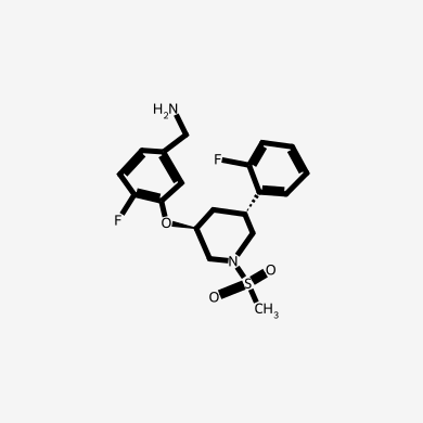 CS(=O)(=O)N1C[C@@H](Oc2cc(CN)ccc2F)C[C@H](c2ccccc2F)C1